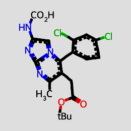 Cc1nc2nc(NC(=O)O)cn2c(-c2ccc(Cl)cc2Cl)c1CC(=O)OC(C)(C)C